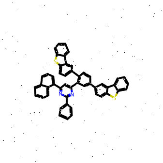 c1ccc(-c2nc(-c3cc(-c4ccc5sc6ccccc6c5c4)ccc3-c3ccc4sc5ccccc5c4c3)cc(-c3cccc4ccccc34)n2)cc1